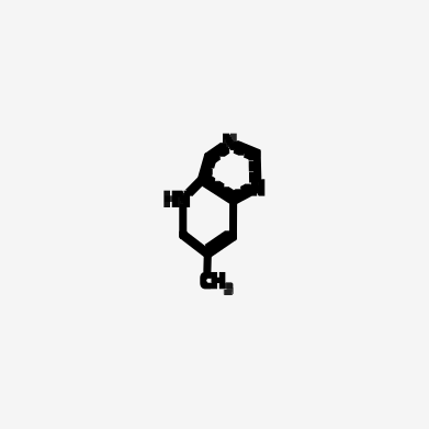 CC1=Cc2ncncc2NC1